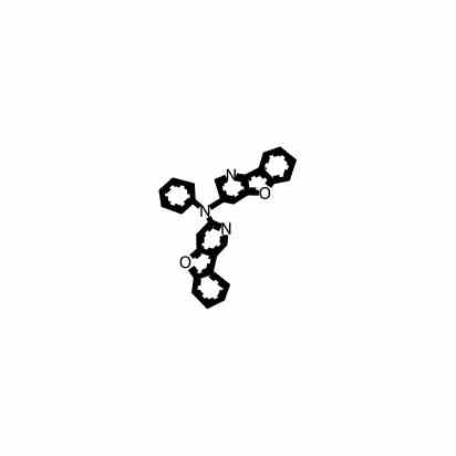 c1ccc(N(c2cnc3c(c2)oc2ccccc23)c2cc3oc4ccccc4c3cn2)cc1